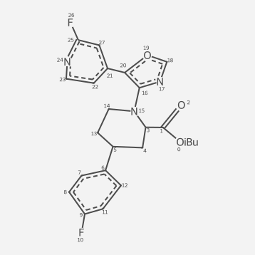 CC(C)COC(=O)C1CC(c2ccc(F)cc2)CCN1c1ncoc1-c1ccnc(F)c1